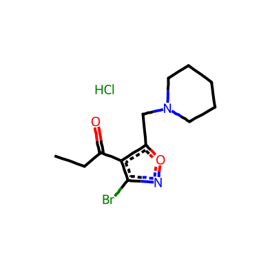 CCC(=O)c1c(Br)noc1CN1CCCCC1.Cl